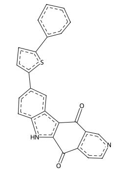 O=C1c2ccncc2C(=O)c2c1[nH]c1ccc(-c3ccc(-c4ccccc4)s3)cc21